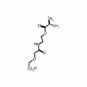 C=C(C)C(=O)OCCNC(=O)COCC(=O)O